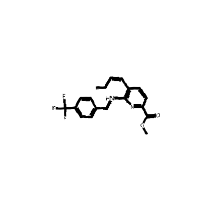 CC/C=C\c1ccc(C(=O)OC)nc1NCc1ccc(C(F)(F)F)cc1